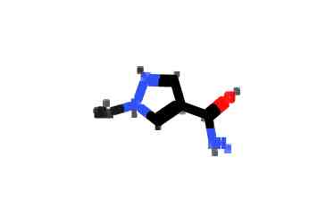 CC(C)(C)n1cc(C(N)=O)cn1